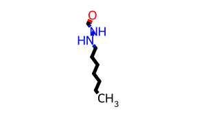 CCCCCCCNNC=O